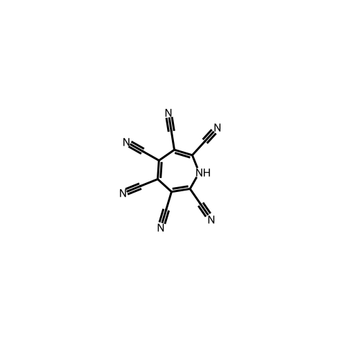 N#CC1=C(C#N)C(C#N)=C(C#N)C(C#N)=C(C#N)N1